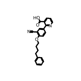 N#Cc1cc(-c2ncccc2C(=O)O)ccc1OCCCCc1ccccc1